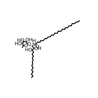 CCCCCCCCCCCCCCCCCCCCCCCCCC(=O)N[C@@H](CO[C@@H]1OC(C)[C@@H](O)[C@H](O)C1O)[C@H](O)[C@H](O)CCCCCCCCCCCCCC